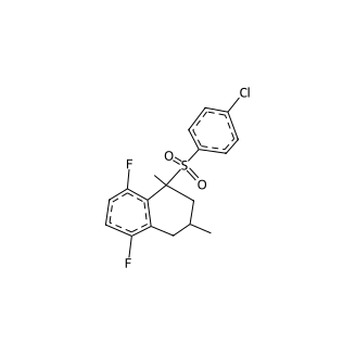 CC1Cc2c(F)ccc(F)c2C(C)(S(=O)(=O)c2ccc(Cl)cc2)C1